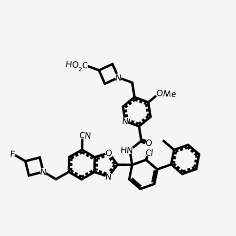 COc1cc(C(=O)NC2(c3nc4cc(CN5CC(F)C5)cc(C#N)c4o3)C=CC=C(c3ccccc3C)C2Cl)ncc1CN1CC(C(=O)O)C1